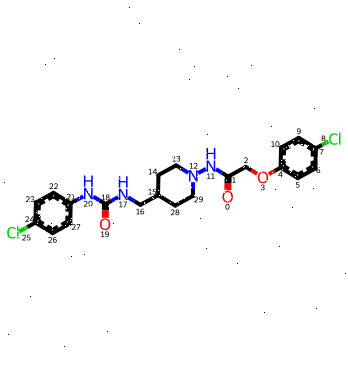 O=C(COc1ccc(Cl)cc1)NN1CCC(CNC(=O)Nc2ccc(Cl)cc2)CC1